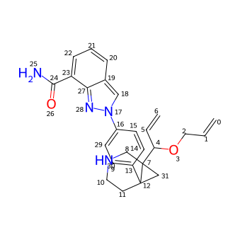 C=CCOC(C=C)C12CNCCC1(c1ccc(-n3cc4cccc(C(N)=O)c4n3)cc1)C2